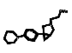 COCCN1CC2CC2(c2ccc(N3CCCCC3)cc2)C1